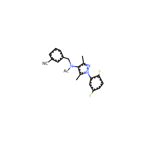 CC(=O)N(Cc1cccc(C#N)c1)c1c(C)nn(-c2cc(F)ccc2F)c1C